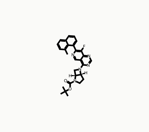 Cc1cccc2cccc(-c3ncc4c(N5C[C@@H]6[C@H]5CCN6C(=O)OC(C)(C)C)ncnc4c3F)c12